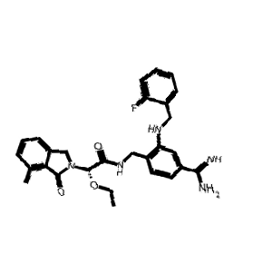 CCO[C@@H](C(=O)NCc1ccc(C(=N)N)cc1NCc1ccccc1F)N1Cc2cccc(C)c2C1=O